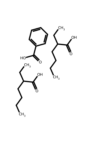 CCCCC(CC)C(=O)O.CCCCC(CC)C(=O)O.O=C(O)c1ccccc1